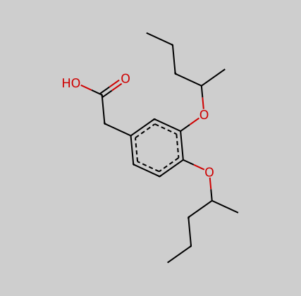 CCCC(C)Oc1ccc(CC(=O)O)cc1OC(C)CCC